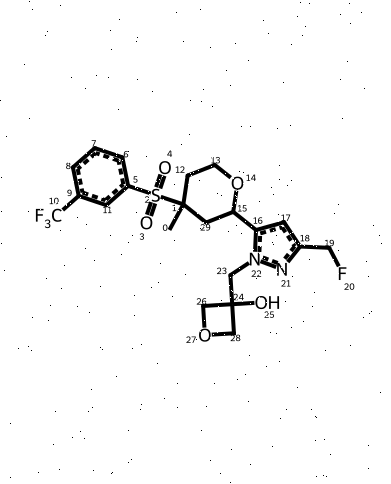 CC1(S(=O)(=O)c2cccc(C(F)(F)F)c2)CCOC(c2cc(CF)nn2CC2(O)COC2)C1